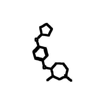 CC1CN(C)CCCC1Oc1ccc(OC2CCCC2)cc1